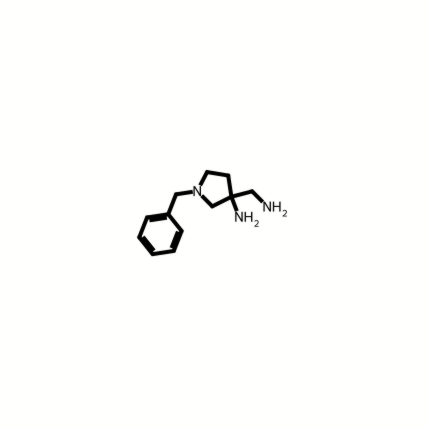 NCC1(N)CCN(Cc2ccccc2)C1